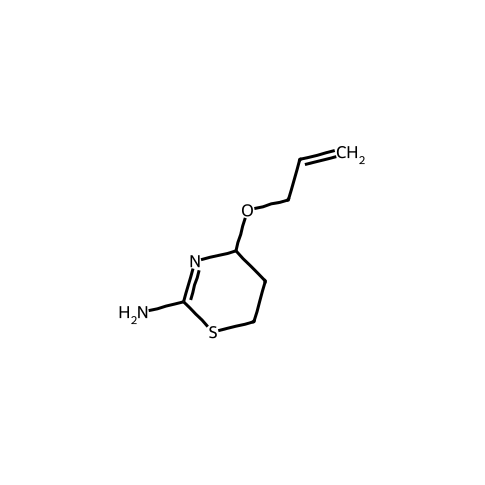 C=CCOC1CCSC(N)=N1